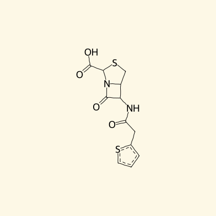 O=C(Cc1cccs1)NC1C(=O)N2C(C(=O)O)SCC12